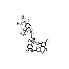 CCC(C)(C)c1ccc(OCCCNS(=O)(=O)c2ccc(Cl)c(NC3=NN(c4c(Cl)cc(Cl)cc4Cl)C(=O)C3)c2)c(C(C)(C)CC)c1